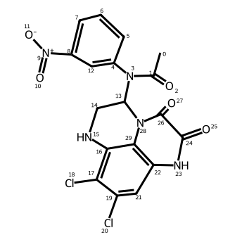 CC(=O)N(c1cccc([N+](=O)[O-])c1)C1CNc2c(Cl)c(Cl)cc3[nH]c(=O)c(=O)n1c23